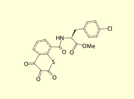 COC(=O)[C@H](Cc1ccc(Cl)cc1)NC(=O)c1cccc2c1SC(=O)C(=O)C2=O